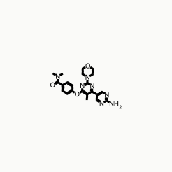 Cc1c(Oc2ccc(C(=O)N(C)C)cc2)nc(N2CCOCC2)nc1-c1cnc(N)nc1